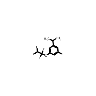 CC(C)c1cc(F)cc(OC(F)(F)C(F)F)c1